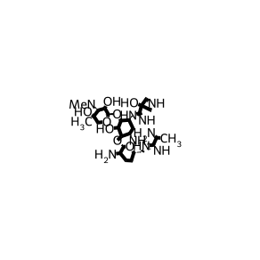 CN[C@@H]1C(O)[C@@H](OC2C(O)C(O[C@H]3O[C@H](CNC(=N)C(C)N)CCC3N)[C@@H](N)C[C@H]2NC(=N)C2(O)CNC2)OCC1(C)O